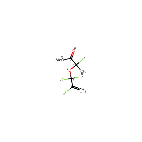 C=C(F)C(F)(F)OC(F)(C(=O)OC)C(F)(F)F